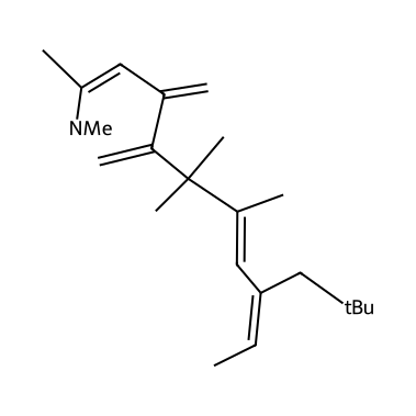 C=C(/C=C(/C)NC)C(=C)C(C)(C)/C(C)=C/C(=C\C)CC(C)(C)C